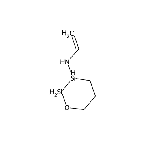 C=CN[SiH]1CCCO[SiH2]1